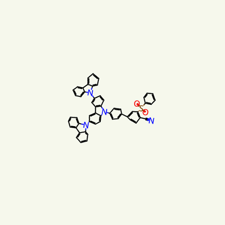 N#Cc1ccc(-c2ccc(-n3c4ccc(-n5c6ccccc6c6ccccc65)cc4c4cc(-n5c6ccccc6c6ccccc65)ccc43)cc2)cc1S(=O)(=O)c1ccccc1